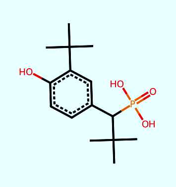 CC(C)(C)c1cc(C(C(C)(C)C)P(=O)(O)O)ccc1O